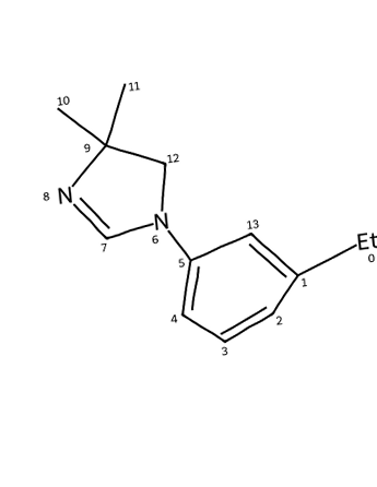 CCc1cccc(N2C=NC(C)(C)C2)c1